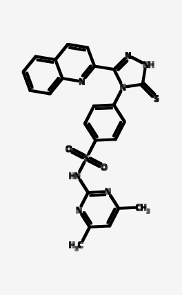 Cc1cc(C)nc(NS(=O)(=O)c2ccc(-n3c(-c4ccc5ccccc5n4)n[nH]c3=S)cc2)n1